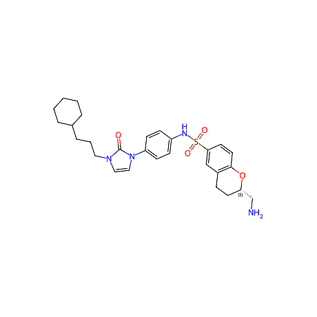 NC[C@@H]1CCc2cc(S(=O)(=O)Nc3ccc(-n4ccn(CCCC5CCCCC5)c4=O)cc3)ccc2O1